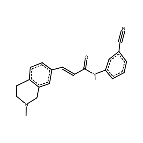 CN1CCc2ccc(C=CC(=O)Nc3cccc(C#N)c3)cc2C1